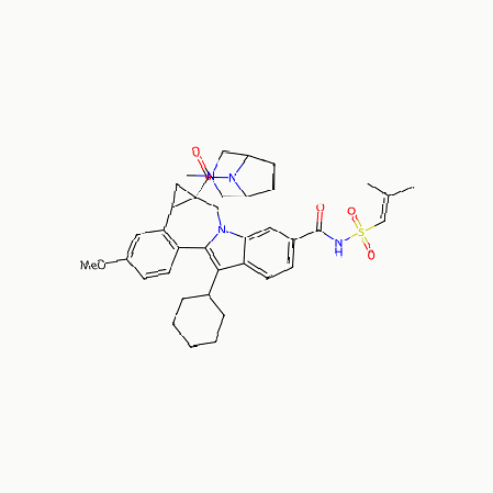 COc1ccc2c(c1)C1CC1(C(=O)N1C3CCC1CN(C)C3)Cn1c-2c(C2CCCCC2)c2ccc(C(=O)NS(=O)(=O)C=C(C)C)cc21